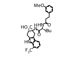 CCC(C)[C@H](NC(=O)CCc1cccc(OC)c1)C(=O)N[C@]1(C(=O)O)CCc2[nH]c3c(C(F)(F)F)cccc3c2C1